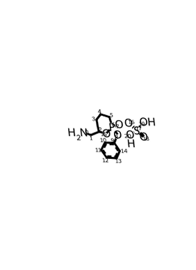 NCC1CCCP(=O)(Oc2ccccc2)O1.O=S(=O)(O)O